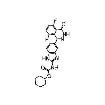 O=C(Nc1nc2cc(-c3n[nH]c(=O)c4c(F)ccc(F)c34)ccc2[nH]1)OC1CCCCC1